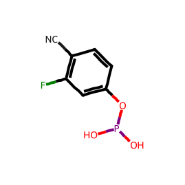 N#Cc1ccc(OP(O)O)cc1F